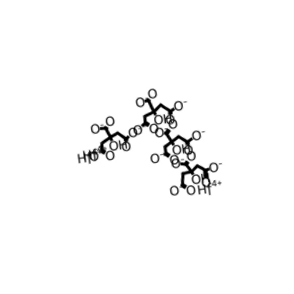 O=C([O-])CC(O)(CC(=O)[O-])C(=O)[O-].O=C([O-])CC(O)(CC(=O)[O-])C(=O)[O-].O=C([O-])CC(O)(CC(=O)[O-])C(=O)[O-].O=C([O-])CC(O)(CC(=O)[O-])C(=O)[O-].[Hf+4].[Hf+4].[Hf+4]